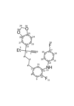 C#CC(CC)(CCCc1ccc(F)c(Nc2ccc(F)cc2)c1)c1ccc2c(c1)OCO2